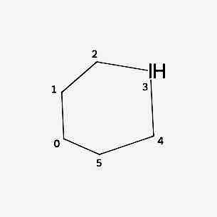 C1CC[IH]CC1